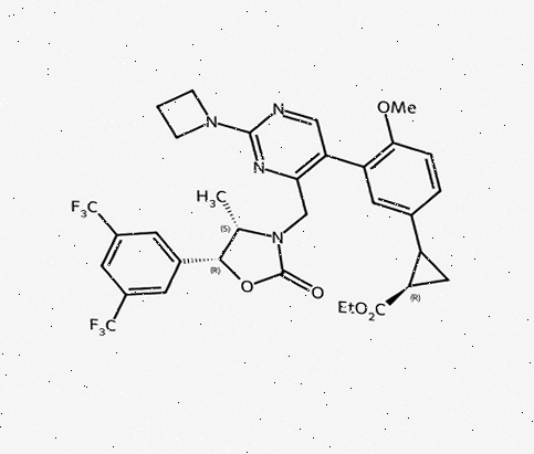 CCOC(=O)[C@@H]1CC1c1ccc(OC)c(-c2cnc(N3CCC3)nc2CN2C(=O)O[C@H](c3cc(C(F)(F)F)cc(C(F)(F)F)c3)[C@@H]2C)c1